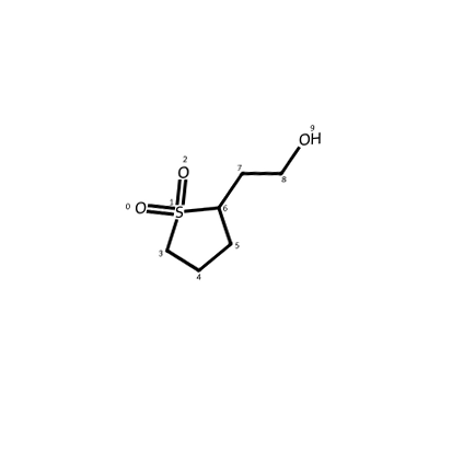 O=S1(=O)CCCC1CCO